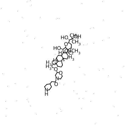 C[C@@H]1CC([C@H](O)C(C)(C)O)OC2C1[C@@]1(C)CCC34C[C@@]35CC[C@H](OC3CN(C(=O)CC6CCNCC6)CCO3)C(C)(C)[C@@H]5CC[C@H]4[C@]1(C)[C@H]2O